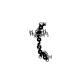 CC1(C)[C@H](NC(=O)c2ccc(CCN3CCN(c4ccc5c(c4)C(=O)N(C4CCC(=O)NC4=O)C5=O)CC3)cc2)C(C)(C)[C@H]1Oc1ccc(C#N)c(Cl)c1